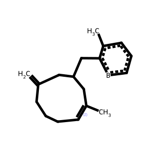 C=C1CCC/C=C(/C)CC(Cc2bcccc2C)C1